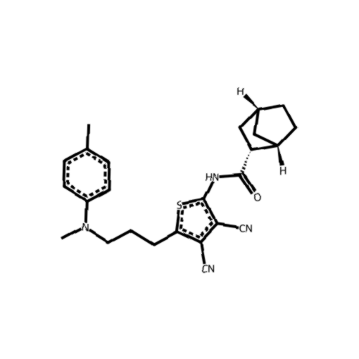 Cc1ccc(N(C)CCCc2sc(NC(=O)[C@@H]3C[C@@H]4CC[C@H]3C4)c(C#N)c2C#N)cc1